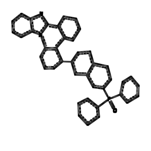 O=P(c1ccccc1)(c1ccccc1)c1ccc2ccc(-c3cccc4c3c3ccccc3c3nc5ccccc5n43)cc2c1